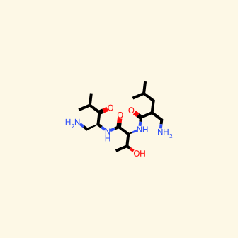 CC(C)CC(CN)C(=O)N[C@H](C(=O)N[C@@H](CN)C(=O)C(C)C)C(C)O